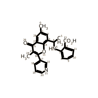 Cc1cc(C(C)Nc2ccccc2C(=O)O)c2oc(-c3cccnc3)c(C)c(=O)c2c1